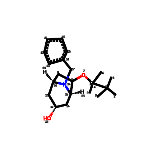 CC(C)(C)[Si](C)(C)OC1C[C@@H]2C[C@@H](O)C[C@H]1N2Cc1ccccc1